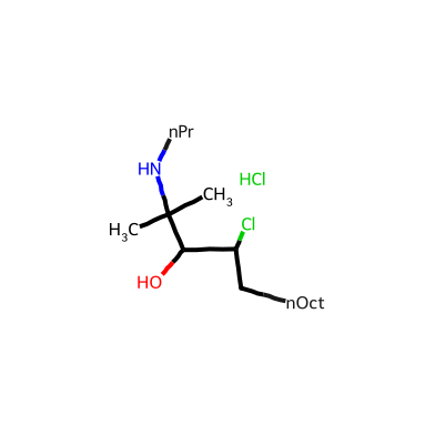 CCCCCCCCCC(Cl)C(O)C(C)(C)NCCC.Cl